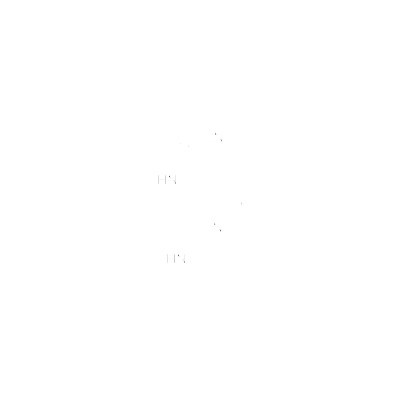 Cc1cc2c(N(C)C3CNC3)ccc(C(N)=O)c2[nH]1.Cl